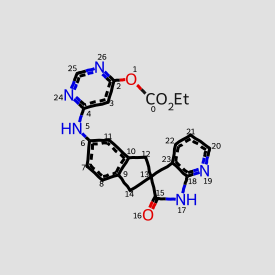 CCOC(=O)Oc1cc(Nc2ccc3c(c2)CC2(C3)C(=O)Nc3ncccc32)ncn1